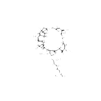 C=C1C[C@@H]2CC[C@@]34C[C@H]5O[C@@H]6[C@@H](O3)[C@H]3O[C@H](CC[C@@H]3O[C@H]6[C@H]5O4)CC(=O)C[C@@H]3[C@@H](OC)[C@@H](C[C@H](O)CNCC[S+](C)[O-])O[C@H]3C[C@H]3O[C@@H](CC[C@@H]1O2)C[C@@H](C)C3=C